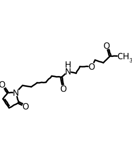 CC(=O)CCOCCNC(=O)CCCCCN1C(=O)C=CC1=O